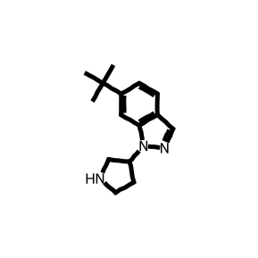 CC(C)(C)c1ccc2cnn(C3CCNC3)c2c1